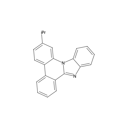 CC(C)c1ccc2c3ccccc3c3nc4ccccc4n3c2c1